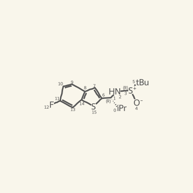 CC(C)[C@@H](N[S@@+]([O-])C(C)(C)C)c1cc2ccc(F)cc2s1